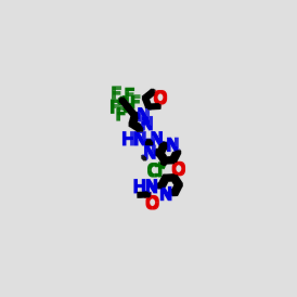 CC(=O)Nc1cc(Oc2cnc3nc(Nc4cc(C(F)(F)C(F)(F)F)n(C5CCOC5)n4)n(C)c3c2Cl)ccn1